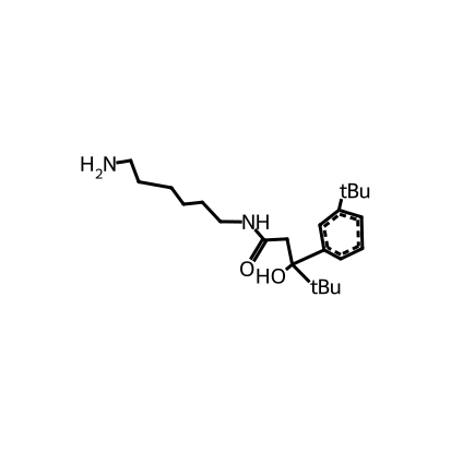 CC(C)(C)c1cccc(C(O)(CC(=O)NCCCCCCN)C(C)(C)C)c1